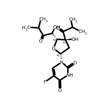 CC(C)C(=O)C(O)[C@H]1O[C@@H](n2cc(F)c(=O)[nH]c2=O)C[C@@]1(O)C(=O)C(C)C